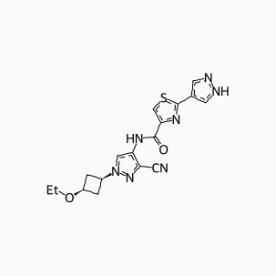 CCO[C@H]1C[C@@H](n2cc(NC(=O)c3csc(-c4cn[nH]c4)n3)c(C#N)n2)C1